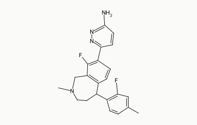 Cc1ccc(C2CCN(C)Cc3c2ccc(-c2ccc(N)nn2)c3F)c(F)c1